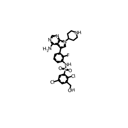 Nc1ncnc2c1c(-c1cccc(NS(=O)(=O)c3cc(Cl)cc(CO)c3Cl)c1F)cn2C1CCNCC1